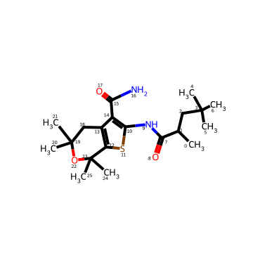 CC(CC(C)(C)C)C(=O)Nc1sc2c(c1C(N)=O)CC(C)(C)OC2(C)C